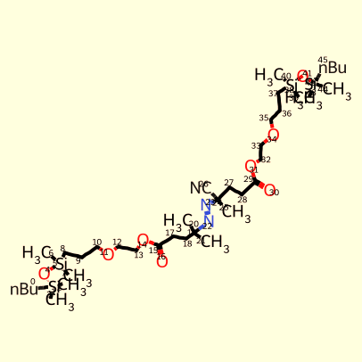 CCCC[Si](C)(C)O[Si](C)(C)CCCOCCOC(=O)CCC(C)(C)N=NC(C)(C#N)CCC(=O)OCCOCCC[Si](C)(C)O[Si](C)(C)CCCC